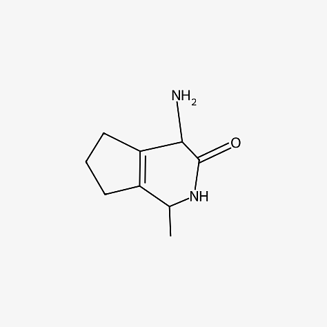 CC1NC(=O)C(N)C2=C1CCC2